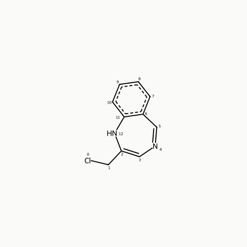 ClCC1=CN=Cc2ccccc2N1